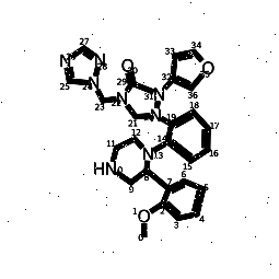 COc1ccccc1C1CNCCN1c1ccccc1N1CN(Cn2cncn2)C(=O)N1c1ccoc1